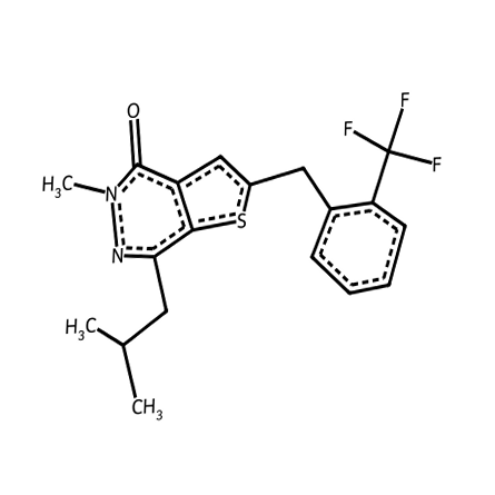 CC(C)Cc1nn(C)c(=O)c2cc(Cc3ccccc3C(F)(F)F)sc12